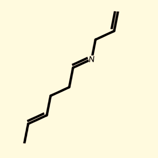 C=CCN=CCCC=CC